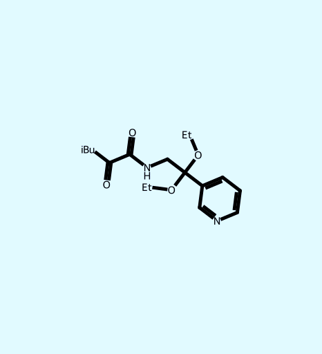 CCOC(CNC(=O)C(=O)C(C)CC)(OCC)c1cccnc1